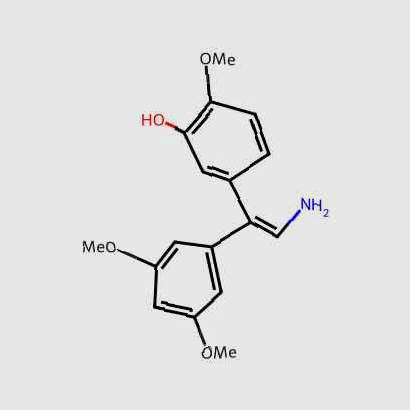 COc1cc(OC)cc(C(=CN)c2ccc(OC)c(O)c2)c1